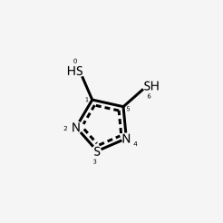 Sc1nsnc1S